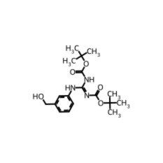 CC(C)(C)OC(=O)N=C(NC(=O)OC(C)(C)C)Nc1cccc(CO)c1